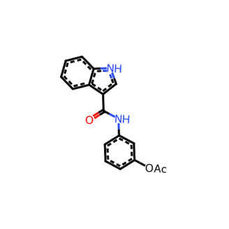 CC(=O)Oc1cccc(NC(=O)c2c[nH]c3ccccc23)c1